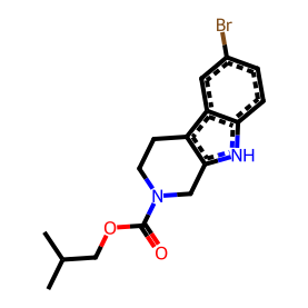 CC(C)COC(=O)N1CCc2c([nH]c3ccc(Br)cc23)C1